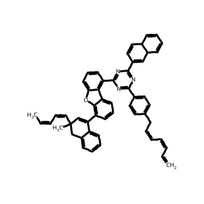 C=C/C=C\C=C/Cc1ccc(-c2nc(C3=CC4C=CC=CC4C=C3)nc(-c3cccc4oc5c(C6=CC(C)(/C=C\C=C/C)Cc7ccccc76)cccc5c34)n2)cc1